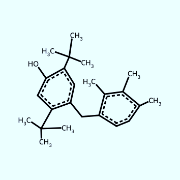 Cc1ccc(Cc2cc(C(C)(C)C)c(O)cc2C(C)(C)C)c(C)c1C